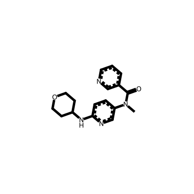 CN(C(=O)c1cccnc1)c1ccc(NC2CCOCC2)nc1